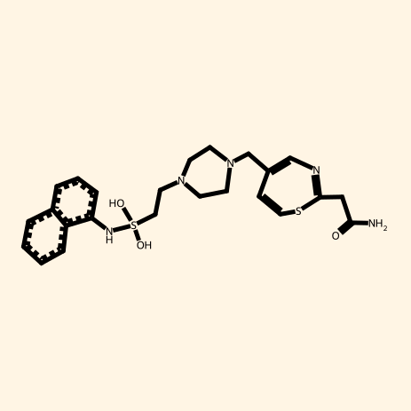 NC(=O)CC1=NC=C(CN2CCN(CCS(O)(O)Nc3cccc4ccccc34)CC2)C=CS1